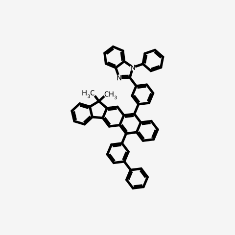 CC1(C)c2ccccc2-c2cc3c(-c4cccc(-c5ccccc5)c4)c4ccccc4c(-c4cccc(-c5nc6ccccc6n5-c5ccccc5)c4)c3cc21